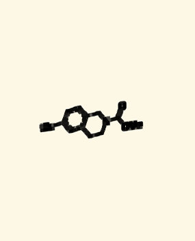 COC(=O)N1CCc2cc(C(C)(C)C)ccc2C1